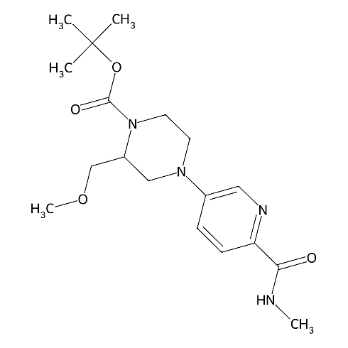 CNC(=O)c1ccc(N2CCN(C(=O)OC(C)(C)C)C(COC)C2)cn1